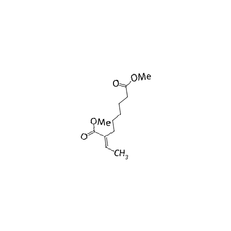 C/C=C(\CCCCCC(=O)OC)C(=O)OC